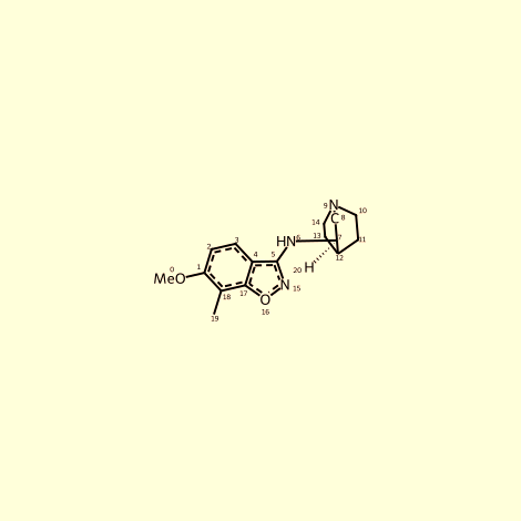 COc1ccc2c(N[C@H]3CN4CCC3CC4)noc2c1C